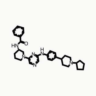 O=C(N[C@@H]1CCCN(c2cncc(Nc3ccc(C4CCN(C5CCCC5)CC4)cc3)n2)C1)c1ccccc1